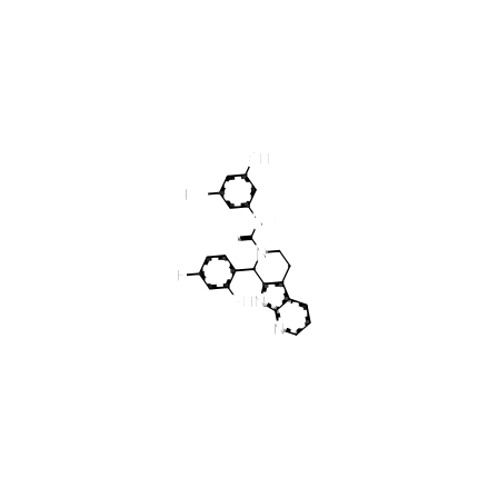 Cc1cc(C)cc(NC(=O)N2CCc3c([nH]c4ncccc34)C2c2ccc(F)cc2F)c1